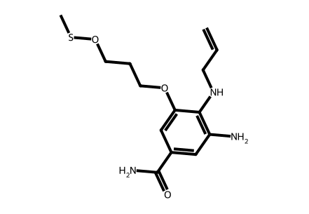 C=CCNc1c(N)cc(C(N)=O)cc1OCCCOSC